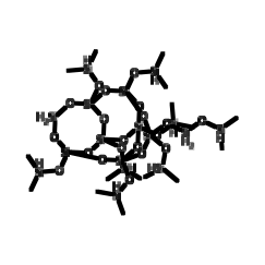 C[SiH](C)O[SiH2]O[Si]1(O[SiH](C)C)O[Si]2(O[SiH](C)C)O[Si]3(O[SiH](C)C)O[SiH2]O[Si]4(O[SiH](C)C)O[Si](O[SiH](C)C)(O1)O[Si](O[SiH](C)C)(O2)O[Si](O[SiH](C)C)(O3)O4